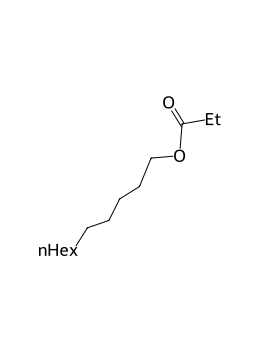 CCCCCCCCCCCOC(=O)CC